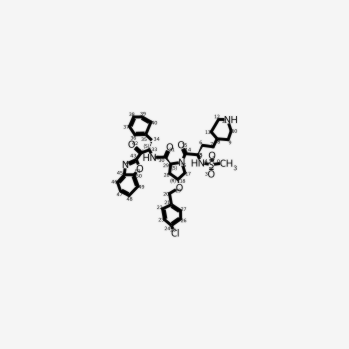 CS(=O)(=O)N[C@H](CCC1CCNCC1)C(=O)N1C[C@H](OCc2ccc(Cl)cc2)C[C@H]1C(=O)N[C@@H](Cc1ccccc1)C(=O)c1nc2ccccc2o1